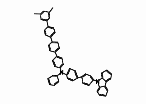 Cc1cc(C)cc(-c2ccc(-c3ccc(-c4ccc(N(c5ccccc5)c5ccc(-c6ccc(-n7c8ccccc8c8ccccc87)cc6)cc5)cc4)cc3)cc2)c1